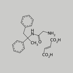 CC(Cc1ccccc1)(NC(=O)CN)c1ccccc1.O=C(O)C=CC(=O)O